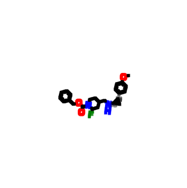 COc1ccc([C@@H]2C[C@H]2NCC2CCN(C(=O)OCc3ccccc3)C(F)C2)cc1